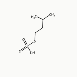 CC(C)CCSS(=O)(=O)O